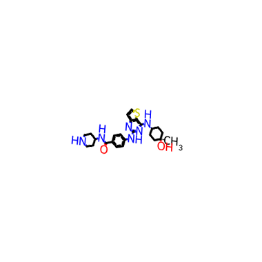 C[C@]1(O)CC[C@H](Nc2nc(Nc3ccc(C(=O)NC4CCNCC4)cc3)nc3ccsc23)CC1